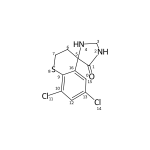 O=C1NCNC12CCSc1c(Cl)cc(Cl)cc12